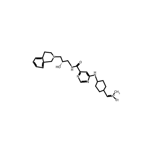 CC/[N+](C)=C/C1CCC(Nc2cc(C(=O)NC[C@H](O)CN3CCc4ccccc4C3)ncn2)CC1